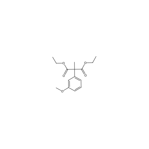 CCOC(=O)C(C)(C(=O)OCC)c1cccc(OC)c1